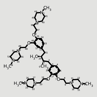 C[C@H](Cc1ccc(OCCN2CCN(C)CC2)c(OCCN2CCN(C)CC2)c1)[C@@H](C)Cc1ccc(OCCN2CCN(C)CC2)c(OCCN2CCN(C)CC2)c1